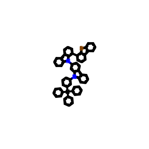 c1ccc([Si](c2ccccc2)(c2ccccc2)c2cccc(-n3c4ccccc4c4ccc(-n5c6ccccc6c6cccc(-c7cccc8c7sc7ccccc78)c65)cc43)c2)cc1